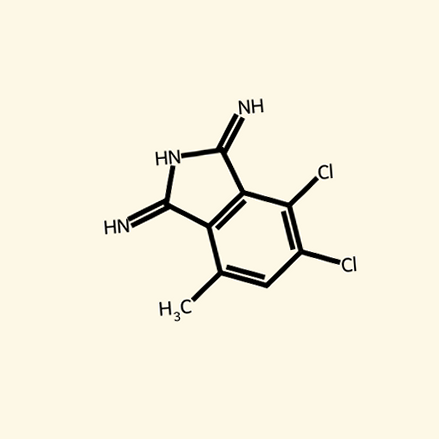 Cc1cc(Cl)c(Cl)c2c1C(=N)NC2=N